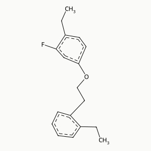 CCc1ccc(OCCc2ccccc2CC)cc1F